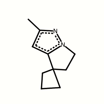 Cc1cc2n(n1)CCC21CCC1